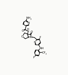 Nc1ccc(C(=O)NC2(C(=O)NCc3ncc(Nc4ccc(F)cc4C(F)(F)F)cc3F)CCOC2)cn1